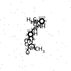 CCCC(C(=O)NC=O)N1Cc2cc(CNC(=O)Nc3ccccc3NC)ccc2C1=O